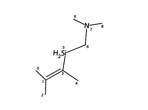 CC(C)=C(C)[SiH2]CN(C)C